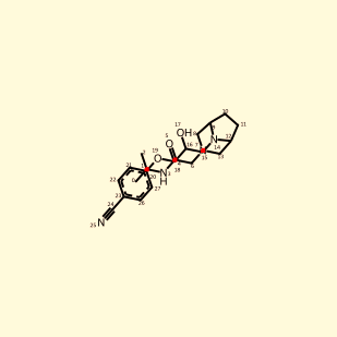 CC(C)NC(=O)CN1CC2CCC(C1)N2CC(O)COc1ccc(C#N)cc1